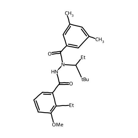 CCc1c(OC)cccc1C(=O)NN(C(=O)c1cc(C)cc(C)c1)C(CC)C(C)(C)C